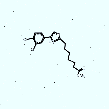 CNC(=O)CCCCCCc1ncc(-c2ccc(Cl)c(Cl)c2)[nH]1